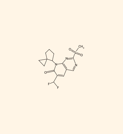 CS(=O)(=O)c1ncc2cc(C(F)F)c(=O)n(C3CCCC34CC4)c2n1